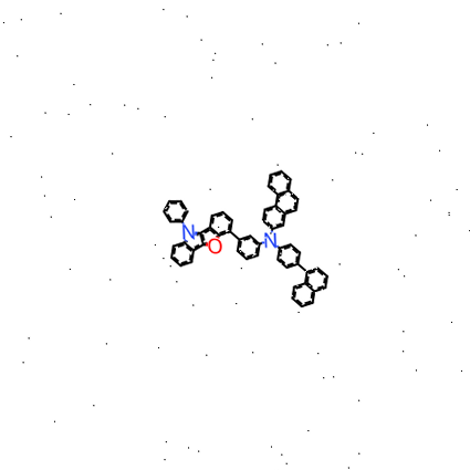 c1ccc(-n2c3ccccc3c3oc4c(-c5cccc(N(c6ccc(-c7cccc8ccccc78)cc6)c6ccc7c(ccc8ccccc87)c6)c5)cccc4c32)cc1